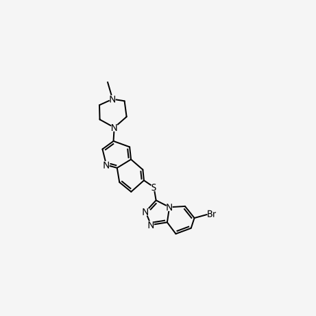 CN1CCN(c2cnc3ccc(Sc4nnc5ccc(Br)cn45)cc3c2)CC1